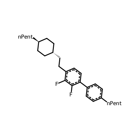 CCCCCc1ccc(-c2ccc(CC[C@H]3CC[C@H](CCCCC)CC3)c(F)c2F)cc1